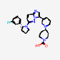 O=C(O)N1CCC(N2CCC=C(c3cnc4ccc(N5CCC[C@@H]5c5cccc(F)c5)nn34)C2)CC1